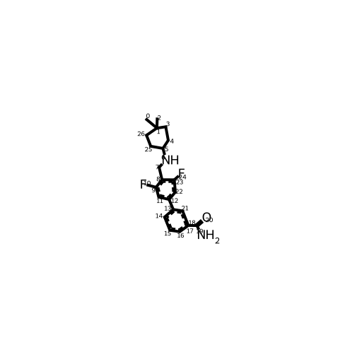 CC1(C)CCC(NCc2c(F)cc(-c3cccc(C(N)=O)c3)cc2F)CC1